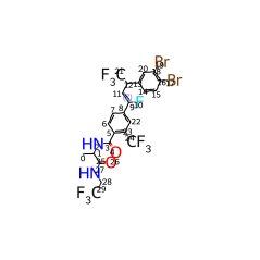 CC(NC(=O)c1ccc(/C(F)=C/C(c2ccc(Br)c(Br)c2)C(F)(F)F)cc1C(F)(F)F)C(=O)NCC(F)(F)F